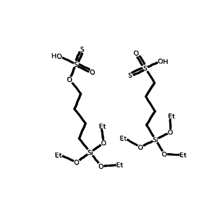 CCO[Si](CCCCOS(=O)(O)=S)(OCC)OCC.CCO[Si](CCCCS(=O)(O)=S)(OCC)OCC